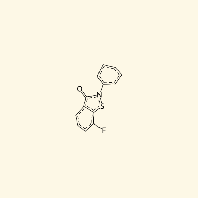 O=c1c2cccc(F)c2sn1-c1ccccc1